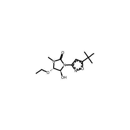 CCO[C@H]1[C@H](O)N(c2cc(C(C)(C)C)on2)C(=O)N1C